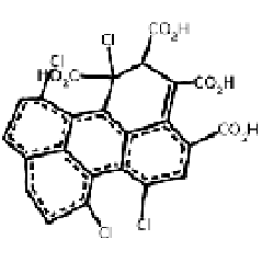 O=C(O)C1=c2c(C(=O)O)cc(Cl)c3c2c(c2c(Cl)ccc4ccc(Cl)c3c42)C(Cl)(C(=O)O)C1C(=O)O